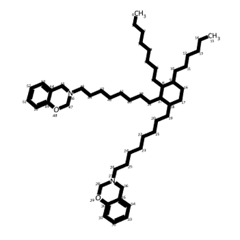 CCCCCCCCC1C(CCCCCC)CCC(CCCCCCCCN2COc3ccccc3C2)C1CCCCCCCCN1COc2ccccc2C1